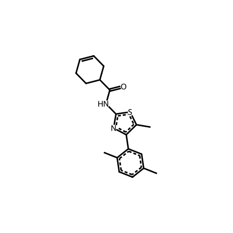 Cc1ccc(C)c(-c2nc(NC(=O)C3CC=CCC3)sc2C)c1